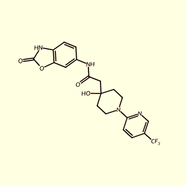 O=C(CC1(O)CCN(c2ccc(C(F)(F)F)cn2)CC1)Nc1ccc2[nH]c(=O)oc2c1